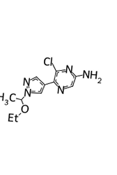 CCOC(C)n1cc(-c2ncc(N)nc2Cl)cn1